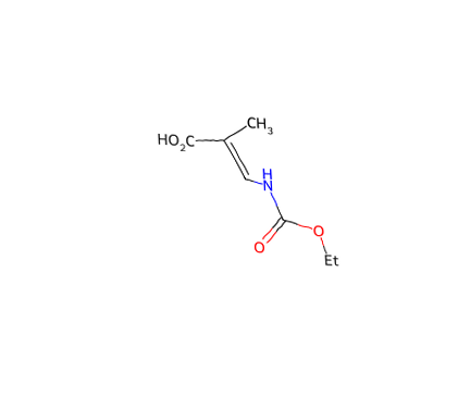 CCOC(=O)N/C=C(\C)C(=O)O